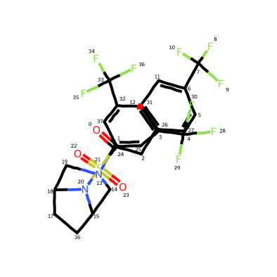 O=C(Cc1ccc(C(F)(F)F)cc1)N1CC2CCC(C1)N2S(=O)(=O)c1cc(C(F)(F)F)cc(C(F)(F)F)c1